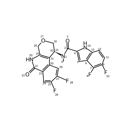 CN(C(=O)c1cc2c(F)c(F)ccc2[nH]1)[C@@H]1COCc2[nH]c(=O)c3cc(F)c(F)cc3c21